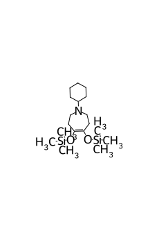 C[Si](C)(C)OC1=C(O[Si](C)(C)C)CCN(C2CCCCC2)CC1